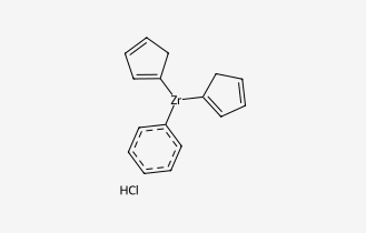 C1=CC[C]([Zr]([C]2=CC=CC2)[c]2ccccc2)=C1.Cl